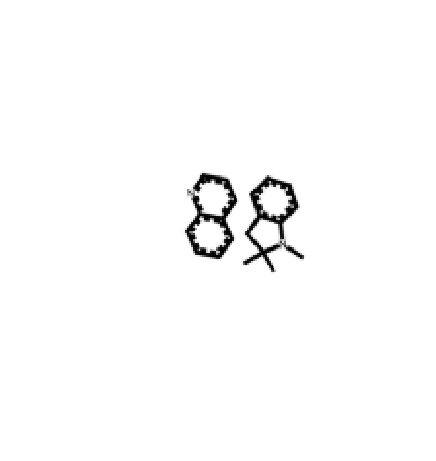 CN1c2ccccc2CC1(C)C.c1ccc2ncccc2c1